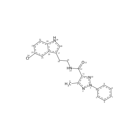 Cc1nn(-c2ccccc2)nc1C(=O)NCCc1c[nH]c2ccc(Cl)cc12